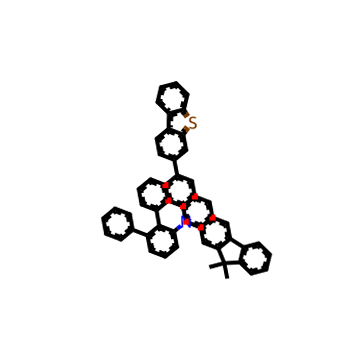 CC1(C)c2ccccc2-c2ccc(N(c3ccc(-c4ccc5c(c4)sc4ccccc45)cc3)c3cccc(-c4ccccc4)c3-c3ccccc3-c3ccccc3)cc21